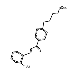 CCCCCCCCCCCCCCc1ccc(C(=S)C=Cc2ccccc2CCCC)cc1